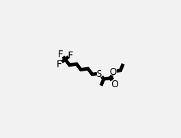 CCOC(=O)C(C)SCCCCCC(F)(F)F